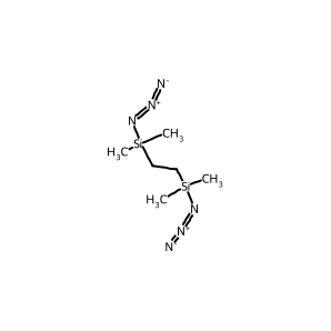 C[Si](C)(CC[Si](C)(C)N=[N+]=[N-])N=[N+]=[N-]